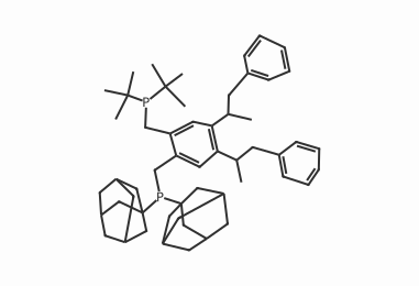 CC(Cc1ccccc1)c1cc(CP(C(C)(C)C)C(C)(C)C)c(CP(C23CC4CC(CC(C4)C2)C3)C23CC4CC(CC(C4)C2)C3)cc1C(C)Cc1ccccc1